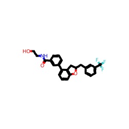 O=C(NCCO)c1cccc(-c2cccc3c2CC(Cc2cccc(C(F)(F)F)c2)O3)c1